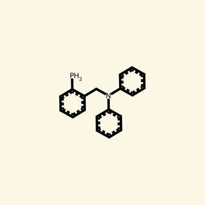 Pc1ccccc1CN(c1ccccc1)c1ccccc1